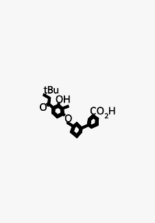 Cc1c(OCc2cccc(-c3cccc(C(=O)O)c3)c2)ccc(C(=O)CCC(C)(C)C)c1O